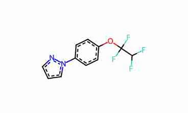 FC(F)C(F)(F)Oc1ccc(-n2cccn2)cc1